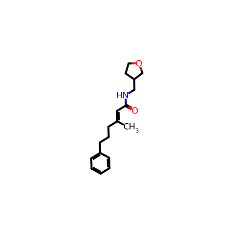 C/C(=C\C(=O)NCC1CCOC1)CCCc1ccccc1